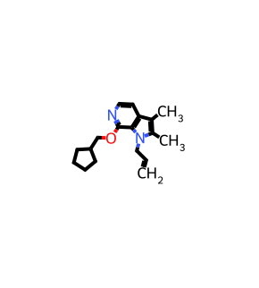 C=CCn1c(C)c(C)c2ccnc(OCC3CCCC3)c21